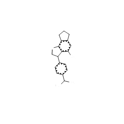 Cc1cc2c(c3c1C(c1ccc(C(C)C)cc1)CO3)CCC2